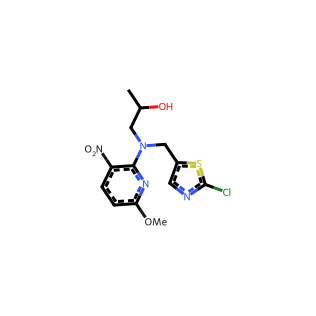 COc1ccc([N+](=O)[O-])c(N(Cc2cnc(Cl)s2)CC(C)O)n1